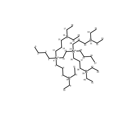 CCCC[N+](CCCB(CC)CC)(CCCB(CC)CC)CC[N+](CCCC)(CCCB(CC)CC)CCCB(CC)CC